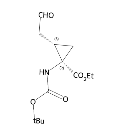 CCOC(=O)[C@@]1(NC(=O)OC(C)(C)C)C[C@H]1CC=O